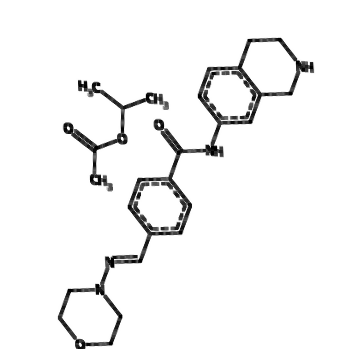 CC(=O)OC(C)C.O=C(Nc1ccc2c(c1)CNCC2)c1ccc(C=NN2CCOCC2)cc1